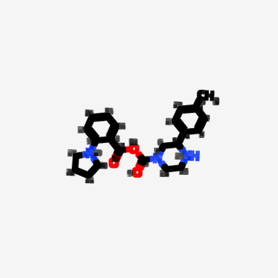 Cc1ccc(C2CN(C(=O)OC(=O)c3ccccc3N3CCCC3)CCN2)cc1